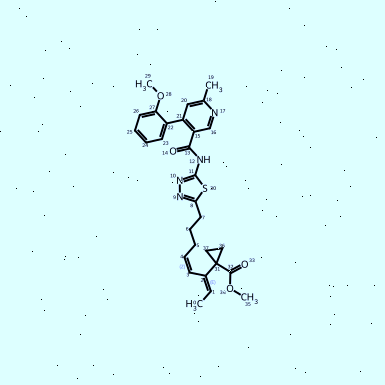 C/C=C(\C=C/CCCc1nnc(NC(=O)c2cnc(C)cc2-c2ccccc2OC)s1)C1(C(=O)OC)CC1